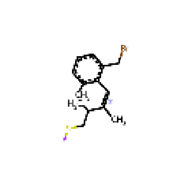 C/C(=C/c1c(C)cccc1CBr)C(C)CSI